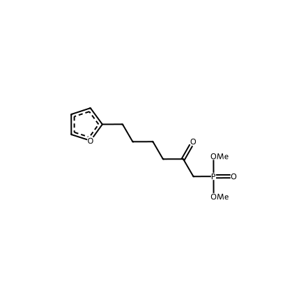 COP(=O)(CC(=O)CCCCc1ccco1)OC